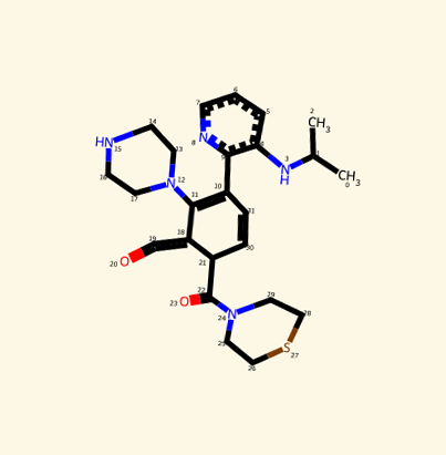 CC(C)Nc1cccnc1C1=C(N2CCNCC2)C(=C=O)C(C(=O)N2CCSCC2)C=C1